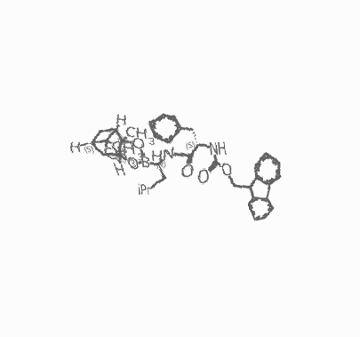 CC(C)C[C@H](NC(=O)[C@H](Cc1ccccc1)NC(=O)OCC1c2ccccc2-c2ccccc21)B1O[C@@H]2C[C@@H]3C[C@@H](C3(C)C)[C@]2(C)O1